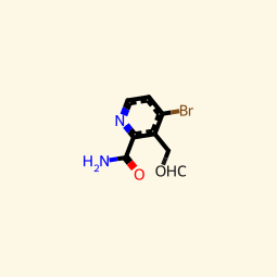 NC(=O)c1nccc(Br)c1CC=O